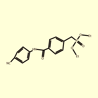 CCOP(=O)(Cc1ccc(C(=O)Nc2ccc(C#N)cc2)cc1)OCC